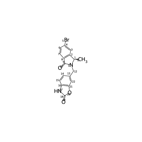 C[C@@H]1c2cc(Br)ccc2C(=O)N1Cc1ccc2[nH]c(=O)oc2c1